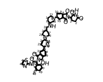 O=C1CCC(N2C(=O)c3ccc(N4CCC[C@H](NCC5CCN(c6ccc(-c7ccc8c(c7)C(=O)N(C(C(=O)Nc7nccs7)c7cc(F)ccc7O)C8)nn6)CC5)C4)cc3C2=O)C(=O)N1